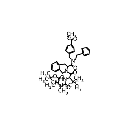 COC(=O)c1ccc(CN(CCc2ccccc2)C(=O)C2Cc3ccccc3CN2C(=O)C(NC(=O)C(C)N(C)C(=O)OC(C)(C)C)C(C)(C)C)cc1